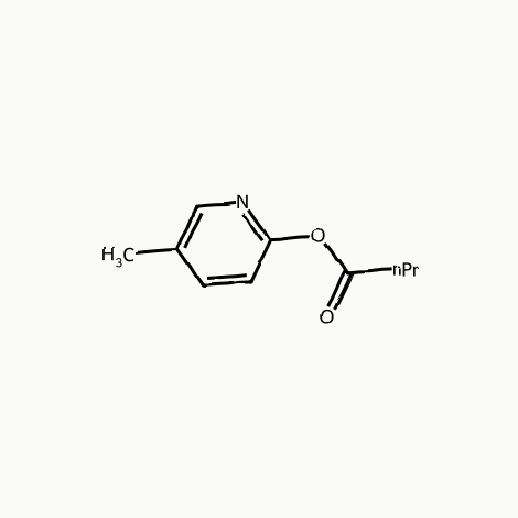 CCCC(=O)Oc1ccc(C)cn1